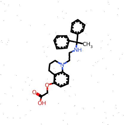 CC(NCCN1CCCc2c(OCC(=O)O)cccc21)(c1ccccc1)c1ccccc1